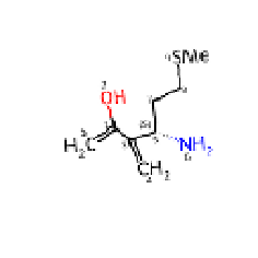 C=C(O)C(=C)[C@@H](N)CCSC